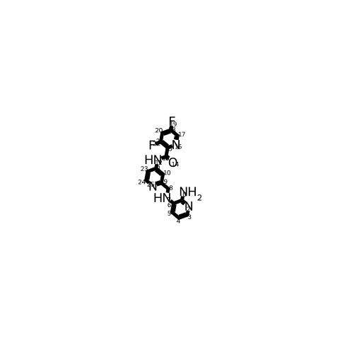 Nc1ncccc1NCc1cc(NC(=O)c2ncc(F)cc2F)ccn1